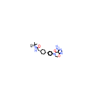 CCC(C)(C)NC(=O)C[C@H]1CC[C@H](c2ccc(N3CCOc4ncnc(N)c4C3=O)cc2)CC1